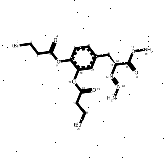 CC(C)(C)CCC(=O)Oc1ccc(C[C@H](N=NN)C(=O)ON)cc1OC(=O)CCC(C)(C)C